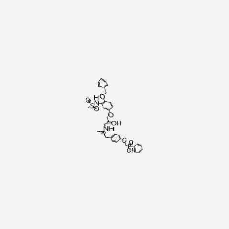 C[C@H](Cc1ccc(OCP(=O)(O)c2ccccc2)cc1)NC[C@H](O)COc1ccc(OCc2ccccc2)c(NS(C)(=O)=O)c1